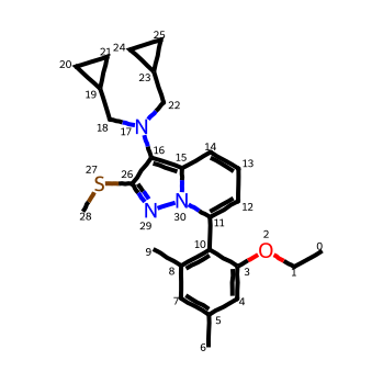 CCOc1cc(C)cc(C)c1-c1cccc2c(N(CC3CC3)CC3CC3)c(SC)nn12